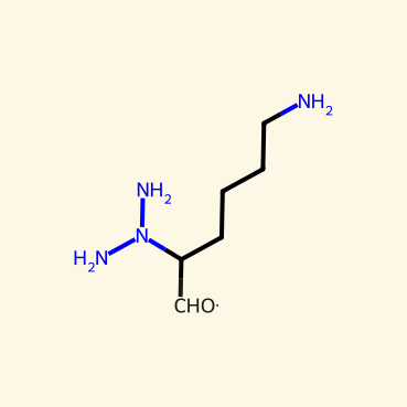 NCCCCC([C]=O)N(N)N